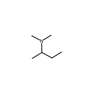 [CH2]CC([CH2])N(C)C